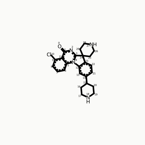 O=c1nc2n(c3cccc(Cl)c13)-c1cc(C3CCNCC3)ccc1C21CCNCC1